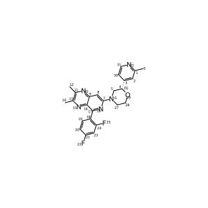 Cc1cc([C@H]2CN(c3cc4nc(C)c(C)nc4c(-c4ccc(F)cc4F)n3)CCO2)ccn1